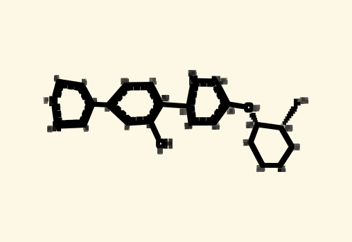 Oc1cc(-c2ccnnc2)ccc1-c1ccc(O[C@H]2CCCC[C@H]2F)nn1